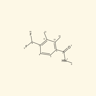 CNC(=O)c1ccc(C(F)F)c(C)c1C